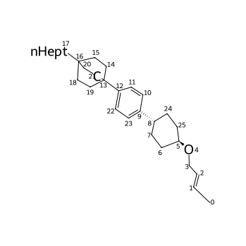 CC=CCO[C@H]1CC[C@H](c2ccc(C34CCC(CCCCCCC)(CC3)CC4)cc2)CC1